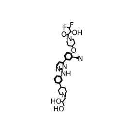 N#Cc1cc(-c2ccnc(Nc3cccc(C4CCN(C[C@H](O)CO)CC4)c3)n2)ccc1OC1CCN(C(=O)[C@H](O)C(F)F)CC1